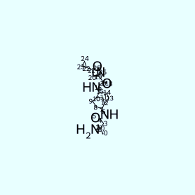 C[C@@H](N)CC(=O)NC1CCC2CC1CCC2NC(=O)c1cc(C2CC2)on1